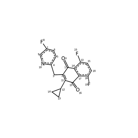 O=C1C(Cc2ccc(F)cn2)=C(C2CC2)C(=O)c2c(F)ccc(F)c21